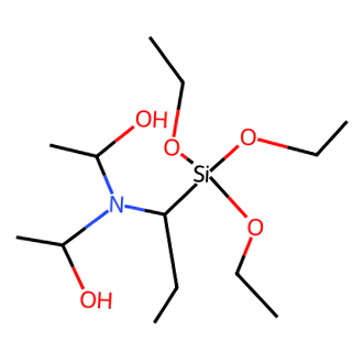 CCO[Si](OCC)(OCC)C(CC)N(C(C)O)C(C)O